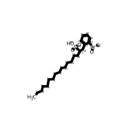 CCCCCCCCCCCCCCCC(Cc1ccccc1[N+](=O)[O-])S(=O)(=O)O